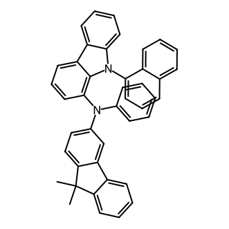 CC1(C)c2ccccc2-c2cc(N(c3ccccc3)c3cccc4c5ccccc5n(-c5cccc6ccccc56)c34)ccc21